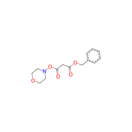 O=C(CC(=O)ON1CCOCC1)OCc1ccccc1